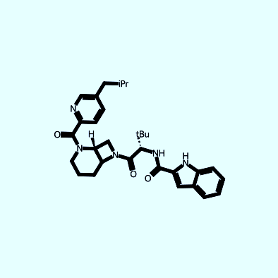 CC(C)Cc1ccc(C(=O)N2CCCC3[C@H]2CN3C(=O)[C@@H](NC(=O)c2cc3ccccc3[nH]2)C(C)(C)C)nc1